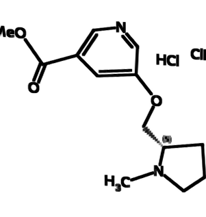 COC(=O)c1cncc(OC[C@@H]2CCCN2C)c1.Cl.Cl